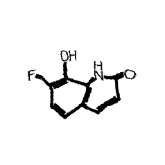 O=c1ccc2ccc(F)c(O)c2[nH]1